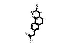 NC(=O)Cc1ccc2c(c1)CCC1CC(=O)NN=C21